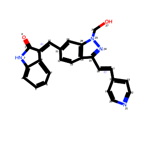 O=C1Nc2ccccc2/C1=C\c1ccc2c(/C=C/c3ccncc3)nn(CO)c2c1